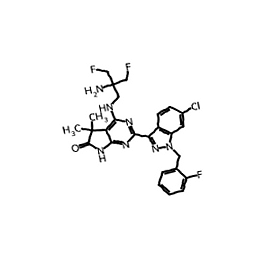 CC1(C)C(=O)Nc2nc(-c3nn(Cc4ccccc4F)c4cc(Cl)ccc34)nc(NCC(N)(CF)CF)c21